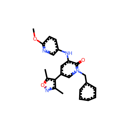 COc1ccc(Nc2cc(-c3c(C)noc3C)cn(Cc3ccccc3)c2=O)cn1